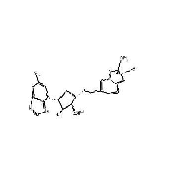 CCc1cc2ncnc-2n([C@@H]2C[C@H](CCc3ccc4cc(Br)c(N)nc4c3)[C@@H](O)[C@H]2O)c1